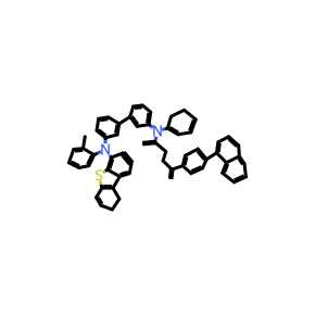 C=C(CCC(=C)N(C1=CC=CCC1)c1cccc(-c2cccc(N(c3ccccc3C)c3c#ccc4c5c(sc34)C=CCC5)c2)c1)c1ccc(-c2cccc3ccccc23)cc1